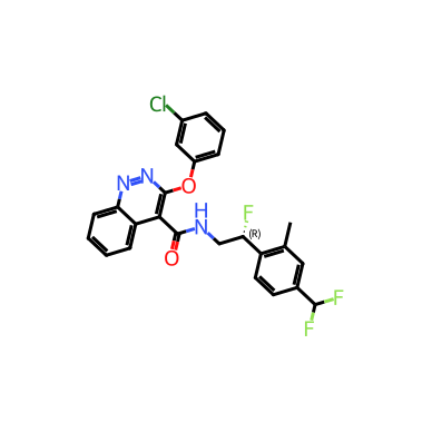 Cc1cc(C(F)F)ccc1[C@@H](F)CNC(=O)c1c(Oc2cccc(Cl)c2)nnc2ccccc12